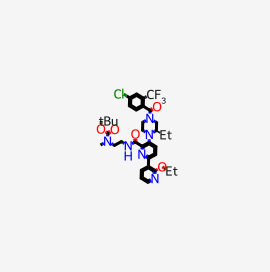 CCOc1ncccc1-c1ccc(N2CCN(C(=O)c3ccc(Cl)cc3C(F)(F)F)C[C@H]2CC)c(C(=O)NCCN(C)C(=O)OC(C)(C)C)n1